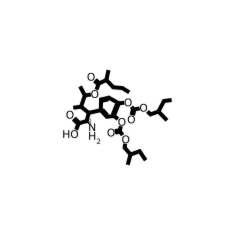 CCCC(C)C(=O)OC(C)C(C)C(c1ccc(OC(=O)OCC(C)CC)c(OC(=O)OCC(C)CC)c1)[C@H](N)C(=O)O